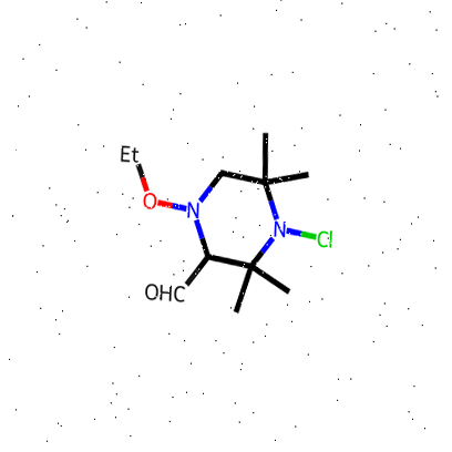 CCON1CC(C)(C)N(Cl)C(C)(C)C1C=O